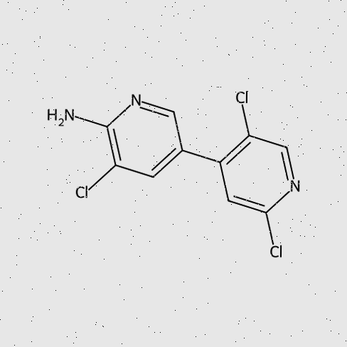 Nc1ncc(-c2cc(Cl)ncc2Cl)cc1Cl